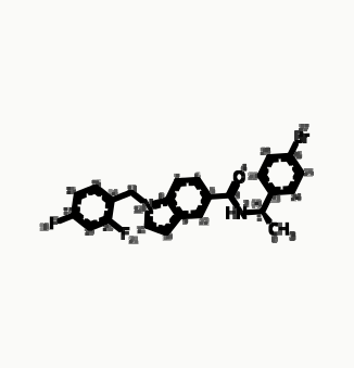 C[C@@H](NC(=O)c1ccc2c(ccn2Cc2ccc(F)cc2F)c1)c1ccc(Br)cc1